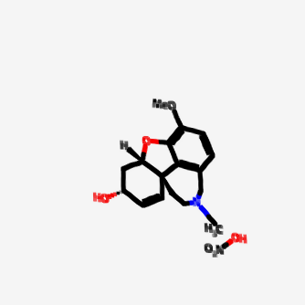 COc1ccc2c3c1O[C@H]1C[C@@H](O)C=C[C@@]31CCN(C)C2.O=[N+]([O-])O